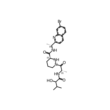 CC(C)C(O)C(=O)N[C@@H](C)C(=O)N1CCC[C@@H](C(=O)N[C@H](C)c2ccc3ccc(Br)cc3n2)N1